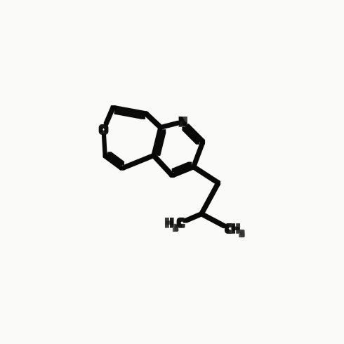 CC(C)Cc1cnc2c(c1)C=COC=C2